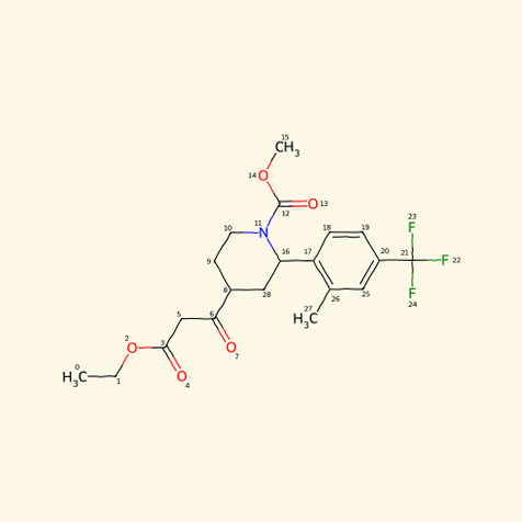 CCOC(=O)CC(=O)C1CCN(C(=O)OC)C(c2ccc(C(F)(F)F)cc2C)C1